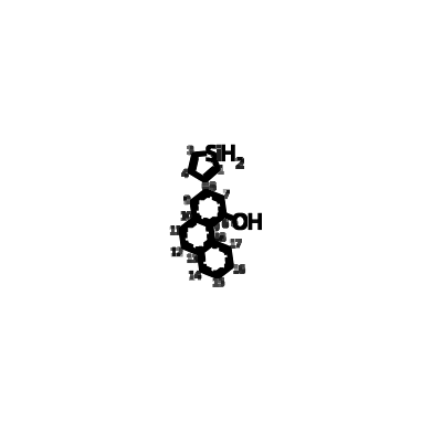 C1=C[SiH2]C=C1.Oc1cccc2ccc3ccccc3c12